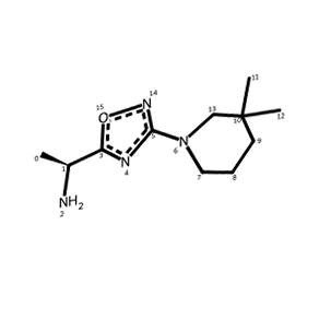 C[C@H](N)c1nc(N2CCCC(C)(C)C2)no1